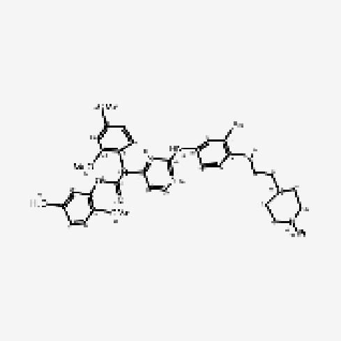 COc1ccc(N(C(=O)Oc2cc(C)ccc2OC)c2ccnc(Nc3ccc(OCCN4CCN(C(C)C)CC4)c(F)c3)n2)c(OC)c1